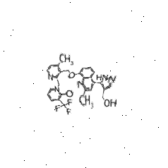 Cc1cc(-c2[nH]ncc2CO)c2cccc(OCc3c(C)ccnc3Cn3cccc(C(F)(F)F)c3=O)c2n1